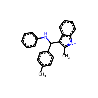 Cc1ccc(C(Nc2ccccc2)c2c(C)[nH]c3ccccc23)cc1